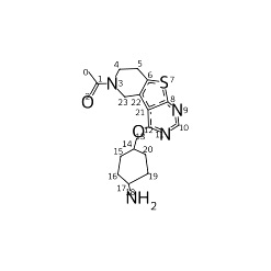 CC(=O)N1CCc2sc3ncnc(OC4CCC(N)CC4)c3c2C1